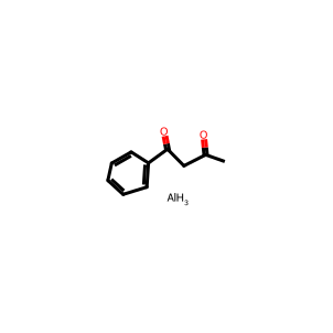 CC(=O)CC(=O)c1ccccc1.[AlH3]